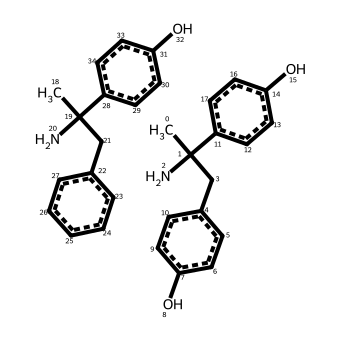 CC(N)(Cc1ccc(O)cc1)c1ccc(O)cc1.CC(N)(Cc1ccccc1)c1ccc(O)cc1